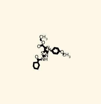 CCOC(=O)c1nn(-c2ccc(OC)cc2)c2nc(NC(=O)C3CCCCC3)sc12